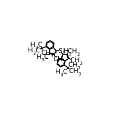 CC1=C(C)c2c(cccc2C(C)(C)C)[C]1[SiH2][C]1C(C)=C(C)c2c1cccc2C(C)(C)C